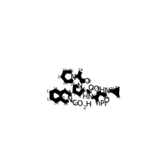 CCCC(NC(=O)[C@@H]1CC([C@H]2Cc3ccccc3CN2C(=O)O)CN1C(=O)C(C)N1CCCCC1)C(=O)C(=O)NC1CC1